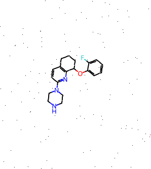 Fc1ccccc1OC1CCCc2ccc(N3CCNCC3)nc21